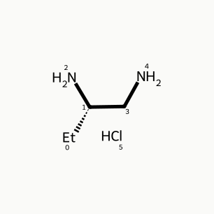 CC[C@H](N)CN.Cl